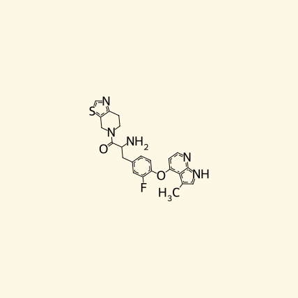 Cc1c[nH]c2nccc(Oc3ccc(CC(N)C(=O)N4CCc5ncsc5C4)cc3F)c12